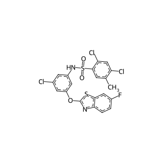 Cc1cc(S(=O)(=O)Nc2cc(Cl)cc(Oc3nc4ccc(F)cc4s3)c2)c(Cl)cc1Cl